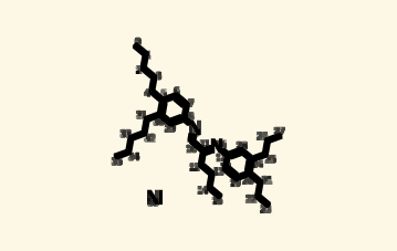 CCCCCc1ccc(N=CC(CCCC)=Nc2ccc(CCC)c(CCC)c2)cc1CCCCC.[Ni]